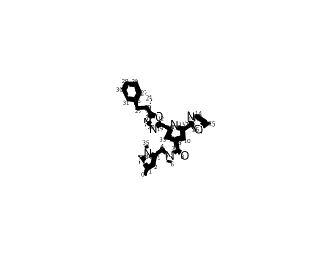 Cc1cc(CN(C)C(=O)c2cc(-c3ncco3)nc(-c3nnc([C@@H](C)Cc4ccccc4)o3)c2)n(C)n1